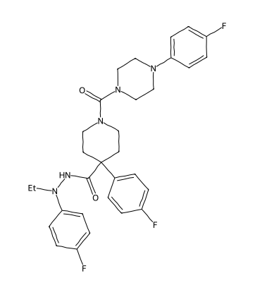 CCN(NC(=O)C1(c2ccc(F)cc2)CCN(C(=O)N2CCN(c3ccc(F)cc3)CC2)CC1)c1ccc(F)cc1